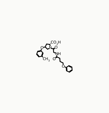 Cc1cccc(OC2C[C@H](C(=O)O)N(C(=O)CNC(=O)CCCOc3ccccc3)C2)c1